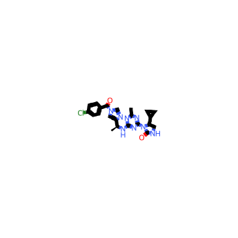 Cc1nc(N[C@@H](C)c2cn(C(=O)c3ccc(Cl)cc3)cn2)nc(N2C(=O)NCC2C2CC2)n1